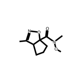 CON(C)C(=O)C12CCCC1C(C)=NO2